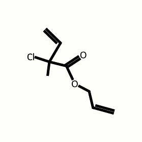 C=CCOC(=O)C(C)(Cl)C=C